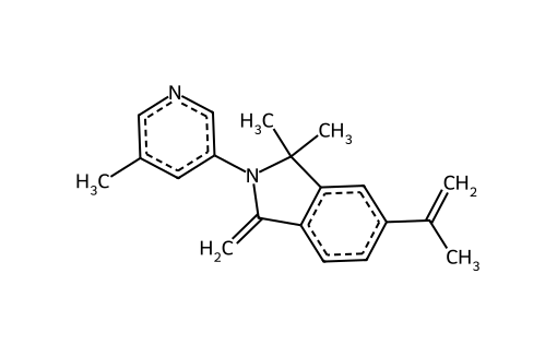 C=C(C)c1ccc2c(c1)C(C)(C)N(c1cncc(C)c1)C2=C